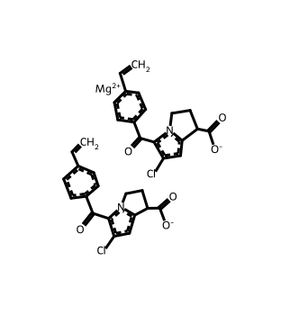 C=Cc1ccc(C(=O)c2c(Cl)cc3n2CCC3C(=O)[O-])cc1.C=Cc1ccc(C(=O)c2c(Cl)cc3n2CCC3C(=O)[O-])cc1.[Mg+2]